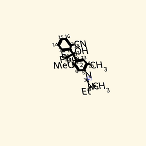 CCN(C)/C=N/c1cc(OC)c(C(O)(c2ccccc2C#N)C(F)(F)P)cc1C